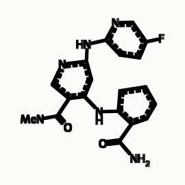 CNC(=O)c1cnc(Nc2ccc(F)cn2)cc1Nc1ccccc1C(N)=O